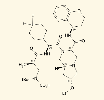 CCO[C@@H]1C[C@@H]2CN(C(=O)[C@@H](NC(=O)[C@H](C)CN(C(=O)O)C(C)(C)C)C3CCC(F)(F)CC3)[C@H](C(=O)N[C@@H]3CCOc4ccccc43)CN2C1